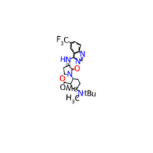 COC(=O)C1CC(N(C)C(C)(C)C)CCC1N1CC[C@H](Nc2ncnc3ccc(C(F)(F)F)cc23)C1=O